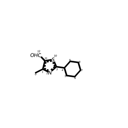 Cc1nc(C2CCCCC2)sc1C=O